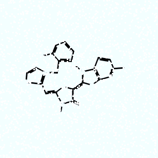 CCn1c(=O)/c(=C2\Sc3cc(C)ccc3N2C)s/c1=C\c1scc[n+]1Cc1ccccc1Cl